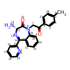 Cc1ccc(C(=O)CN2C(=O)[C@@H](N)N=C(c3ccccn3)c3ccccc32)cc1